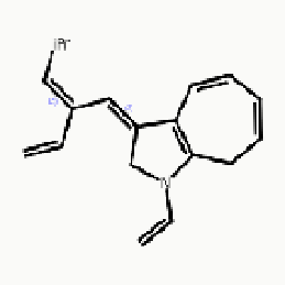 C=CC(=C/C(C)C)/C=C1\CN(C=C)C2=C1C=CC=CC2